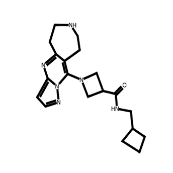 O=C(NCC1CCC1)C1CN(c2c3c(nc4ccnn24)CCNCC3)C1